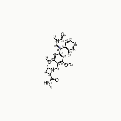 CNC(=O)C1CCN1Cc1c(OC)cc(/C(=C/N(C)C=O)c2ccncc2C)cc1OC